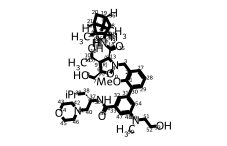 COc1c(CN2O[C@@H](CO)[C@@H]([C@H](C)O)[C@H]2C(=O)N[C@H]2C[C@H]3C[C@@H]([C@@H]2C)C3(C)C)cccc1-c1cc(C(=O)N[C@@H](CC(C)C)CN2CCOCC2)cc(N(C)CCO)c1